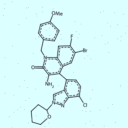 COc1ccc(Cn2c(=O)c(N)c(-c3ccc(Cl)c4nn(C5CCCCO5)cc34)c3cc(Br)c(F)cc32)cc1